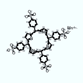 O=S(=O)([O-])c1ccc(-c2c3nc(c(-c4ccc(S(=O)(=O)[O-])cc4)c4ccc([nH]4)c(-c4ccc(S(=O)(=O)[O-])cc4)c4nc(c(-c5ccc(S(=O)(=O)[O-])cc5)c5ccc2[nH]5)C=C4)C=C3)cc1.[Mn+4]